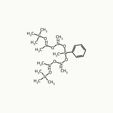 C[SiH](O[SiH](C)O[Si](C)(O[SiH](C)O[SiH](C)O[Si](C)(C)C)c1ccccc1)O[Si](C)(C)C